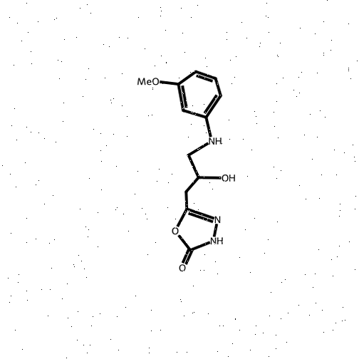 COc1cccc(NCC(O)Cc2n[nH]c(=O)o2)c1